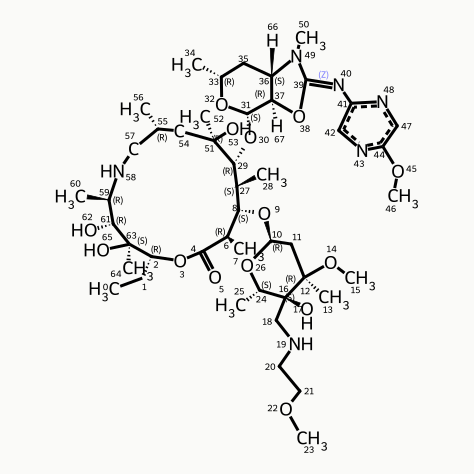 CC[C@H]1OC(=O)[C@H](C)[C@@H](O[C@H]2C[C@@](C)(OC)[C@](O)(CNCCOC)[C@H](C)O2)[C@H](C)[C@@H](O[C@@H]2O[C@H](C)C[C@H]3[C@H]2O/C(=N\c2cnc(OC)cn2)N3C)[C@](C)(O)C[C@@H](C)CN[C@H](C)[C@@H](O)[C@]1(C)O